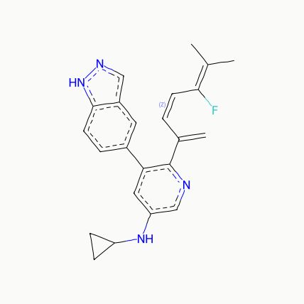 C=C(/C=C\C(F)=C(C)C)c1ncc(NC2CC2)cc1-c1ccc2[nH]ncc2c1